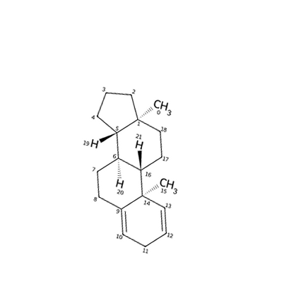 C[C@@]12CCC[C@H]1[C@@H]1CCC3=CCC=C[C@]3(C)[C@H]1CC2